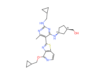 Cc1nc(NCC2CC2)nc(N[C@H]2CC[C@@H](CO)C2)c1-c1nc2c(OCC3CC3)nccc2s1